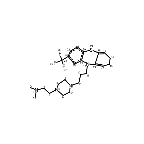 CN(C)CCN1CCN(CCCN2C3=CCCC=C3Sc3ccc(C(F)(F)F)cc32)CC1